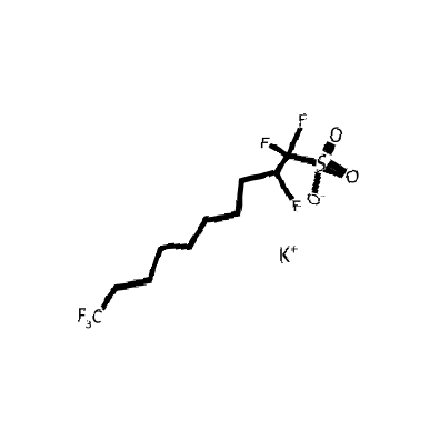 O=S(=O)([O-])C(F)(F)C(F)CCCCCCCC(F)(F)F.[K+]